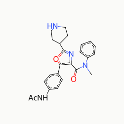 CC(=O)Nc1ccc(-c2oc(C3CCNCC3)nc2C(=O)N(C)c2ccccc2)cc1